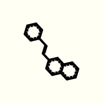 [c]1c(C=Cc2ccccc2)ccc2ccccc12